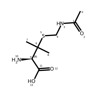 CC(=O)NCSC(C)(C)[C@H](N)C(=O)O